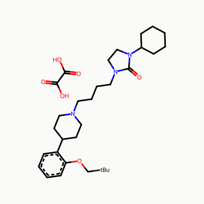 CC(C)(C)COc1ccccc1C1CCN(CCCCN2CCN(C3CCCCC3)C2=O)CC1.O=C(O)C(=O)O